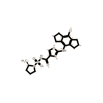 C[C@@H]1CCCN1S(=O)(=O)NC(=O)c1coc(Nc2c3c(c(Cl)c4c2CCC4)CCC3)n1